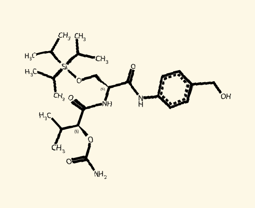 CC(C)[C@H](OC(N)=O)C(=O)N[C@@H](CO[Si](C(C)C)(C(C)C)C(C)C)C(=O)Nc1ccc(CO)cc1